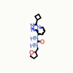 O=C(NCC1CCCO1)Nc1cccn2c(C3CCC3)nnc12